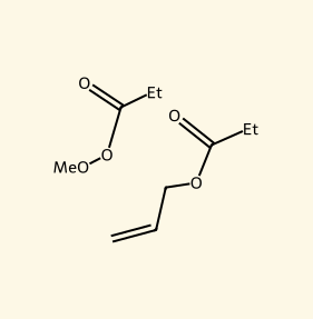 C=CCOC(=O)CC.CCC(=O)OOC